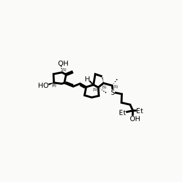 C=C1C(=CC=C2CCC[C@]3(C)[C@@H]([C@H](C)SCCCC(O)(CC)CC)CC[C@@H]23)C[C@@H](O)C[C@@H]1O